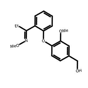 CCC(=NOC)c1ccccc1Oc1ccc(CO)cc1OC